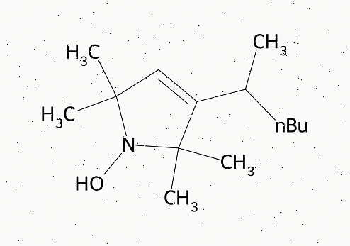 CCCCC(C)C1=CC(C)(C)N(O)C1(C)C